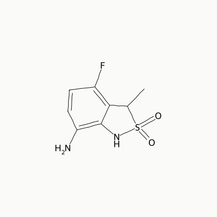 CC1c2c(F)ccc(N)c2NS1(=O)=O